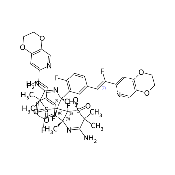 CC1(C)C(N)=N[C@](C)(c2cc(/C=C(\F)c3cc4c(cn3)OCCO4)ccc2F)[C@](F)([C@]2(F)[C@@](C)(c3cc(C=C(F)c4cc5c(cn4)OCCO5)ccc3F)N=C(N)C(C)(C)S2(=O)=O)S1(=O)=O